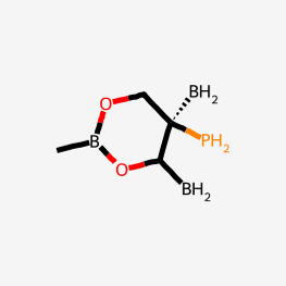 BC1OB(C)OC[C@@]1(B)P